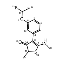 CNC1=C(c2cccc(OC(F)F)c2)C(=O)C(C)S1